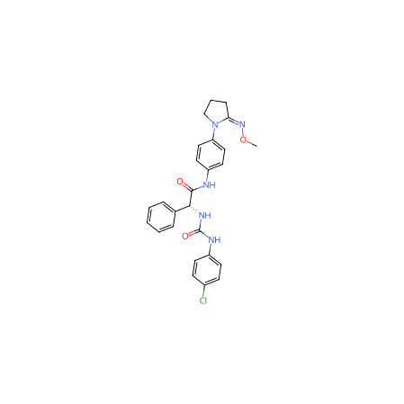 CO/N=C1/CCCN1c1ccc(NC(=O)[C@H](NC(=O)Nc2ccc(Cl)cc2)c2ccccc2)cc1